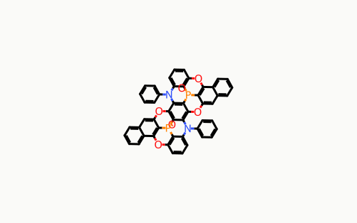 O=P12c3c4cccc3N(c3ccccc3)c3c5c6c(c(c31)Oc1cc3ccccc3c(c12)O4)N(c1ccccc1)c1cccc2c1P6(=O)c1c(cc3ccccc3c1O2)O5